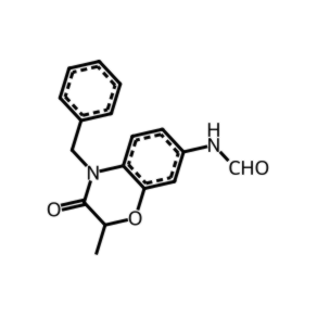 CC1Oc2cc(NC=O)ccc2N(Cc2ccccc2)C1=O